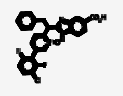 O=C(O)c1ccc2[nH]c(C(Cc3ccccc3)c3ccc(-c4c(F)ccc(Cl)c4F)c[n+]3[O-])nc2c1